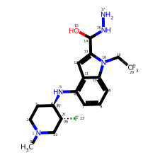 CN1CC[C@@H](Nc2cccc3c2cc(C(O)NN)n3CC(F)(F)F)[C@H](F)C1